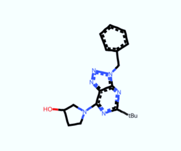 CC(C)(C)c1nc(N2CCC(O)C2)c2nnn(Cc3ccccc3)c2n1